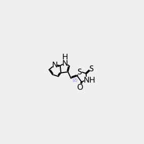 O=C1NC(=S)S/C1=C\c1c[nH]c2ncccc12